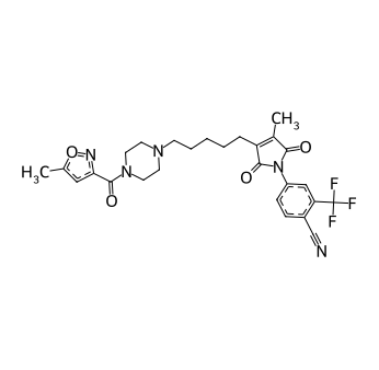 CC1=C(CCCCCN2CCN(C(=O)c3cc(C)on3)CC2)C(=O)N(c2ccc(C#N)c(C(F)(F)F)c2)C1=O